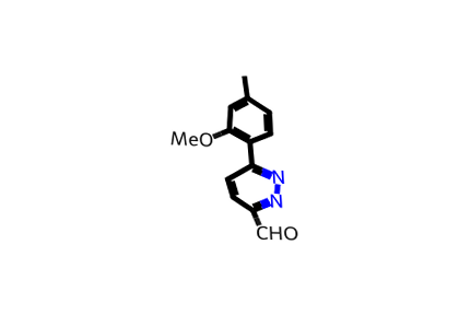 COc1cc(C)ccc1-c1ccc(C=O)nn1